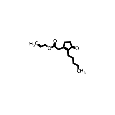 C=CCOC(=O)CC1=C(CCCCC)C(=O)CC1